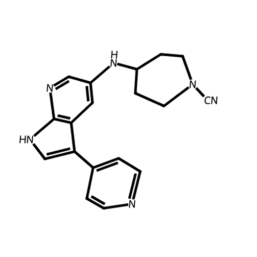 N#CN1CCC(Nc2cnc3[nH]cc(-c4ccncc4)c3c2)CC1